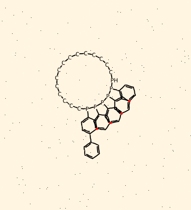 c1ccc(-c2ccc(P3CCCCCCCCCCCCCCCPP(c4ccccc4)P(c4ccccc4)P(c4ccccc4)P3c3ccccc3)cc2)cc1